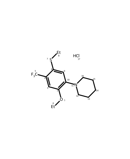 CCOc1cc(C(F)(F)F)c(SCC)cc1N1CCCCC1.Cl